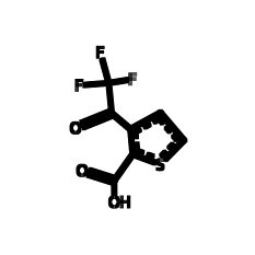 O=C(O)c1sccc1C(=O)C(F)(F)F